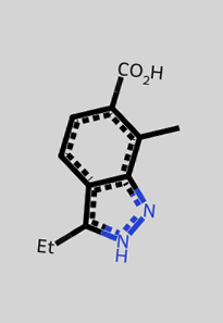 CCc1[nH]nc2c(C)c(C(=O)O)ccc12